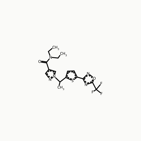 CCN(CC)C(=O)c1cnn(C(C)c2ccc(-c3noc(C(F)(F)F)n3)s2)c1